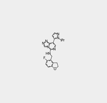 CC(C)n1nccc1-c1cnc(NCc2c(F)ccc3c2CCO3)n2cnnc12